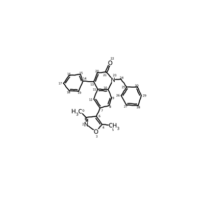 Cc1noc(C)c1-c1ccc2c(c1)c(-c1ccccc1)cc(=O)n2Cc1ccccc1